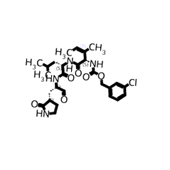 C/C=C(/C)[C@H](NC(=O)OCc1cccc(Cl)c1)C(=O)N[C@@H](CC(C)C)C(=O)N[C@H](C=O)C[C@@H]1CCNC1=O